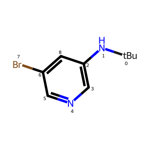 CC(C)(C)Nc1cncc(Br)c1